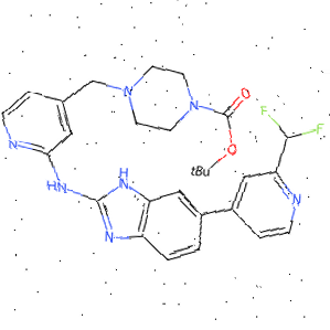 CC(C)(C)OC(=O)N1CCN(Cc2ccnc(Nc3nc4ccc(-c5ccnc(C(F)F)c5)cc4[nH]3)c2)CC1